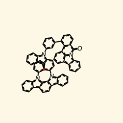 O=c1c2cccc(-c3cccc(-n4c5ccccc5c5cc(-n6c7ccccc7c7ccc8c9ccccc9n(-c9ccccc9)c8c76)ccc54)c3)c2c2cccc3c4ccccc4n1c32